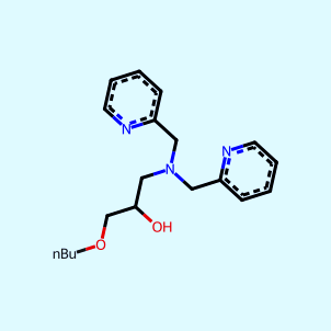 CCCCOCC(O)CN(Cc1ccccn1)Cc1ccccn1